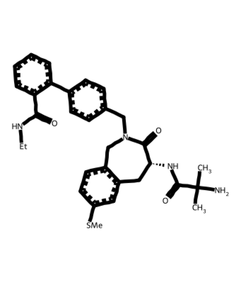 CCNC(=O)c1ccccc1-c1ccc(CN2Cc3ccc(SC)cc3C[C@@H](NC(=O)C(C)(C)N)C2=O)cc1